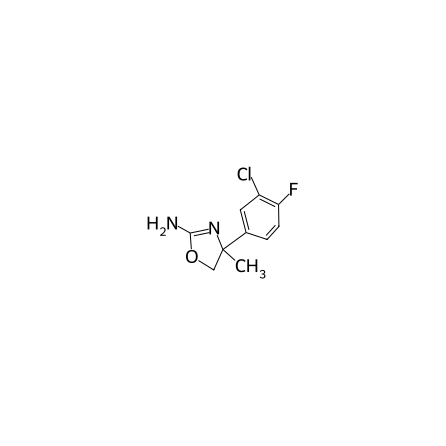 CC1(c2ccc(F)c(Cl)c2)COC(N)=N1